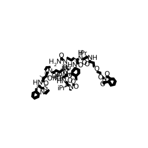 CC[C@H](C)[C@@H]([C@@H](CC(=O)N1CCC[C@H]1[C@H](OC)[C@@H](C)C(=O)N[C@@H](Cc1ccccc1)c1nccs1)OC)N(C)C(=O)[C@@H](NC(=O)[C@H](C(C)C)N(C)C(=O)OCc1ccc(NC(=O)[C@H](CCCNC(N)=O)NC(=O)[C@@H](NC(=O)CCOCCON2C(=O)c3ccccc3C2=O)C(C)C)cc1)C(C)C